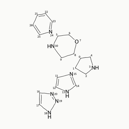 C1CCNC1.C1COCCN1.c1c[nH]cn1.c1c[nH]nn1.c1ccncc1